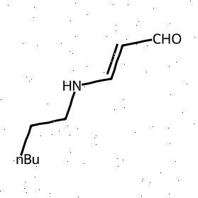 CCCCCCNC=CC=O